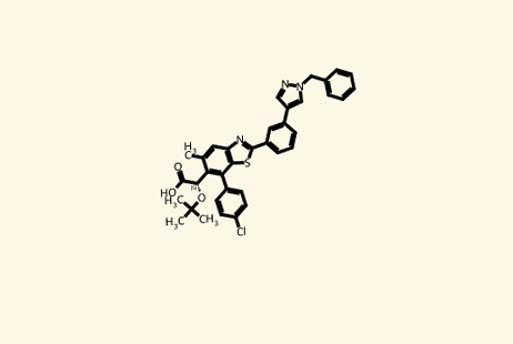 Cc1cc2nc(-c3cccc(-c4cnn(Cc5ccccc5)c4)c3)sc2c(-c2ccc(Cl)cc2)c1[C@H](OC(C)(C)C)C(=O)O